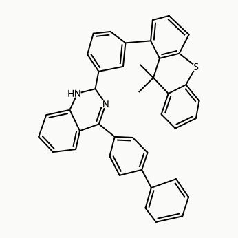 CC1(C)c2ccccc2Sc2cccc(-c3cccc(C4N=C(c5ccc(-c6ccccc6)cc5)c5ccccc5N4)c3)c21